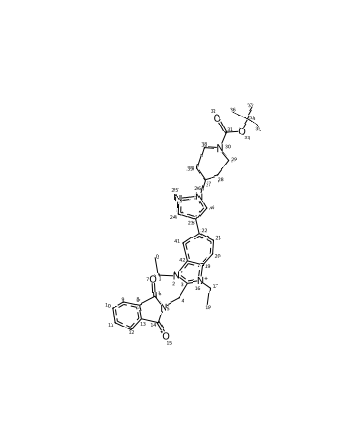 CCn1c(CN2C(=O)c3ccccc3C2=O)[n+](CC)c2ccc(-c3cnn(C4CCN(C(=O)OC(C)(C)C)CC4)c3)cc21